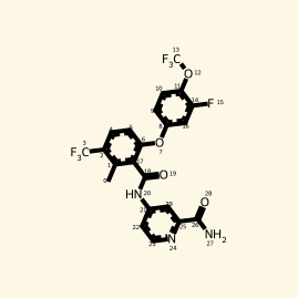 Cc1c(C(F)(F)F)ccc(Oc2ccc(OC(F)(F)F)c(F)c2)c1C(=O)Nc1ccnc(C(N)=O)c1